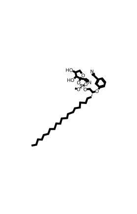 CCCCCCCCCCCCCCCCCCCC[C@H](COP(=O)(OC)OC1(C#N)OCC(O)C1O)Oc1cccc(C#N)c1